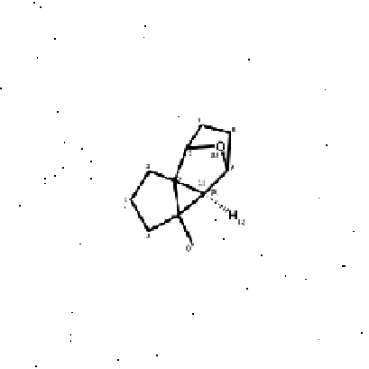 CC12CCCC13C1CCC(O1)[C@@H]23